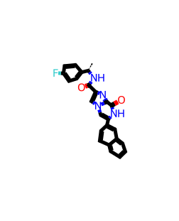 C[C@H](NC(=O)c1cn2cc(-c3ccc4ccccc4c3)[nH]c(=O)c2n1)c1ccc(F)cc1